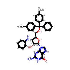 COc1ccc(C(OC[C@H]2O[C@@H](n3cnc4c(=O)[nH]c(N)nc43)[C@H](O)[C@@H]2Nc2ccccc2)(c2ccccc2)c2ccc(OC)cc2)cc1